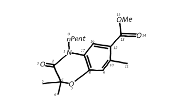 CCCCCN1C(=O)C(C)(C)Oc2cc(C)c(C(=O)OC)cc21